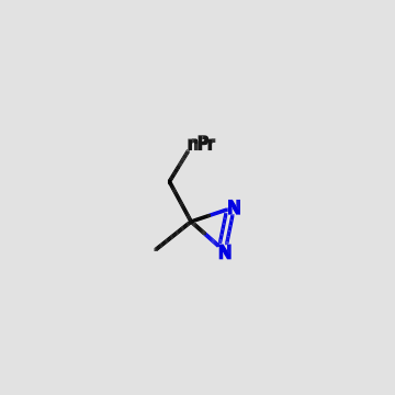 CCCCC1(C)N=N1